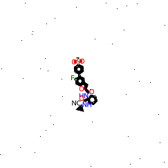 CS(=O)(=O)c1ccc(-c2cc3cc(C(=O)NC4(C(=O)NC5(C#N)CC5)CCCCC4)oc3cc2F)cc1